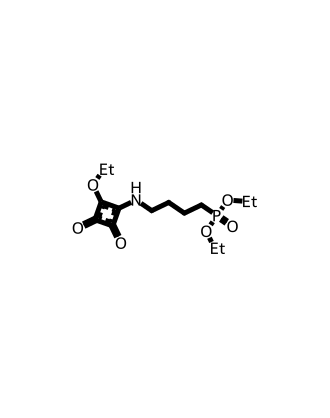 CCOc1c(NCCCCP(=O)(OCC)OCC)c(=O)c1=O